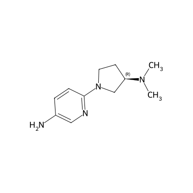 CN(C)[C@@H]1CCN(c2ccc(N)cn2)C1